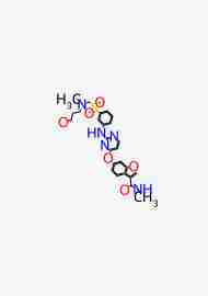 CNC(=O)c1coc2cc(Oc3ccnc(Nc4cccc(S(=O)(=O)CN(C)CCC=O)c4)n3)ccc12